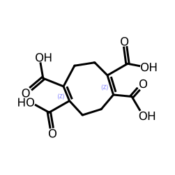 O=C(O)/C1=C(\C(=O)O)CC/C(C(=O)O)=C(/C(=O)O)CC1